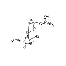 CNc1cn([C@H]2C[C@H](O)[C@@H](COP(N)O)O2)c(=O)[nH]c1=O